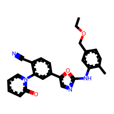 CCOCc1ccc(C)c(Nc2ncc(-c3ccc(C#N)c(-n4ccccc4=O)c3)o2)c1